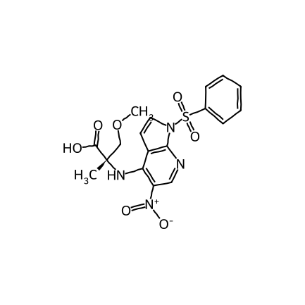 COC[C@](C)(Nc1c([N+](=O)[O-])cnc2c1ccn2S(=O)(=O)c1ccccc1)C(=O)O